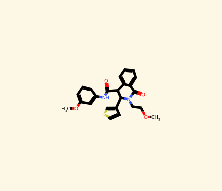 COCCN1C(=O)c2ccccc2C(C(=O)Nc2cccc(OC)c2)C1c1ccsc1